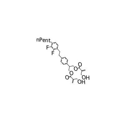 C=C(CO)C(=O)OCC(COC(=O)C(=C)CO)c1ccc(CCc2ccc(CCCCC)c(F)c2F)cc1